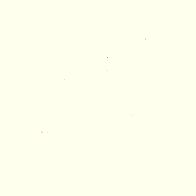 CNC(=O)c1csc(C2=C(C(=O)O)N3C(=O)[C@H]([C@@H](C)O)[C@H]3C2)c1.[Na]